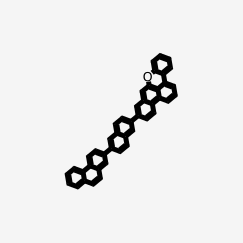 c1ccc2c(c1)Oc1cc3cc(-c4ccc5cc(-c6ccc7c(ccc8ccccc87)c6)ccc5c4)ccc3c3cccc-2c13